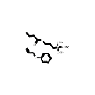 C=CCOc1ccccc1.CC=CC(=O)OCCC[Si](OC)(OC)OC